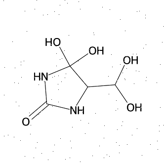 O=C1NC(C(O)O)C(O)(O)N1